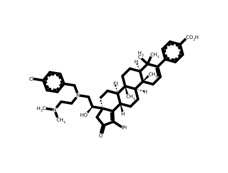 CC[C@@]12CC[C@@]3([C@@H](O)CN(CCN(C)C)Cc4ccc(Cl)cc4)CC(=O)C(C(C)C)=C3[C@H]1CC[C@@H]1[C@@]3(C)CC=C(c4ccc(C(=O)O)cc4)C(C)(C)[C@@H]3CC[C@]12C